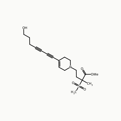 COC(=O)C(C)(CCN1CC=C(C#CC#CCCCO)CC1)S(C)(=O)=O